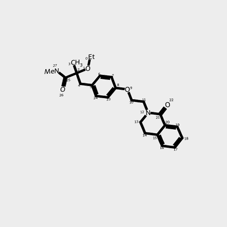 CCOC(C)(Cc1ccc(OCCN2CCc3ccccc3C2=O)cc1)C(=O)NC